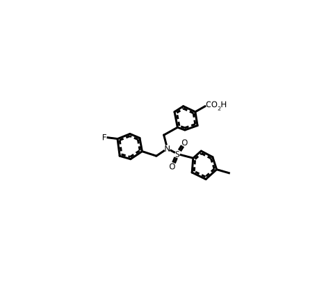 Cc1ccc(S(=O)(=O)N(Cc2ccc(F)cc2)Cc2ccc(C(=O)O)cc2)cc1